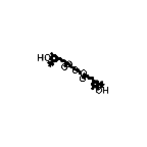 Cc1cc(CCCC(=O)OCCOCCOC(=O)CCCc2cc(C)c(O)c(C(C)(C)C)c2)cc(C(C)(C)C)c1O